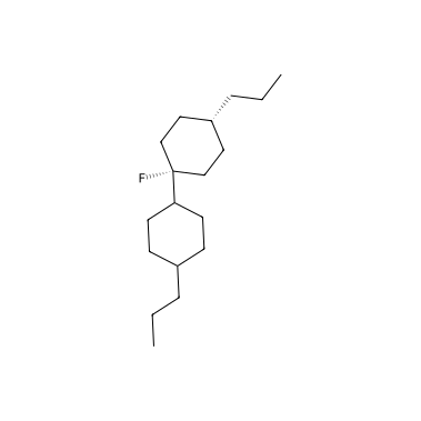 CCCC1CCC([C@]2(F)CC[C@@H](CCC)CC2)CC1